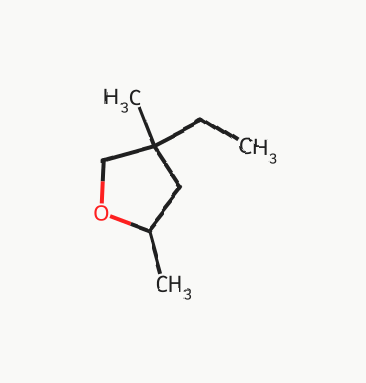 CCC1(C)COC(C)C1